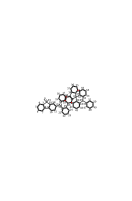 CC1(C)c2ccccc2-c2ccc(N(c3ccccc3)c3ccccc3-c3ccc4c(c3)C3(c5ccccc5-4)c4ccccc4C(c4ccccc4)c4ccccc43)cc21